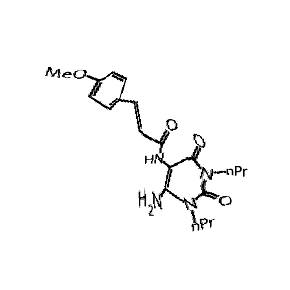 CCCn1c(N)c(NC(=O)/C=C/c2ccc(OC)cc2)c(=O)n(CCC)c1=O